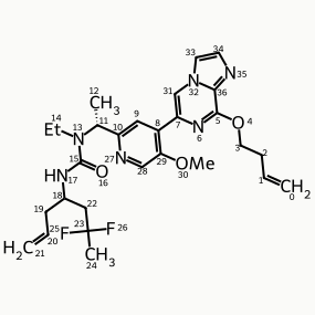 C=CCCOc1nc(-c2cc([C@@H](C)N(CC)C(=O)NC(CC=C)CC(C)(F)F)ncc2OC)cn2ccnc12